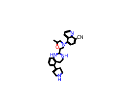 CC1CN(c2ccc(C#N)c3ncccc23)CC(C2NCCc3c(cccc3C3=CCNCC3)N2)O1